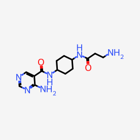 NCCC(=O)NC1CCC(NC(=O)c2cncnc2N)CC1